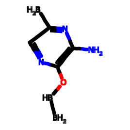 BBOc1ncc(B)nc1N